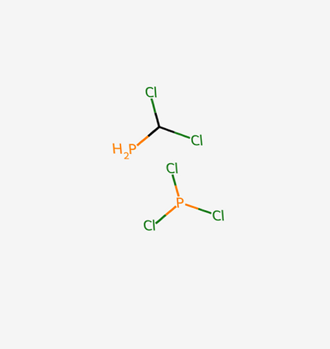 ClP(Cl)Cl.PC(Cl)Cl